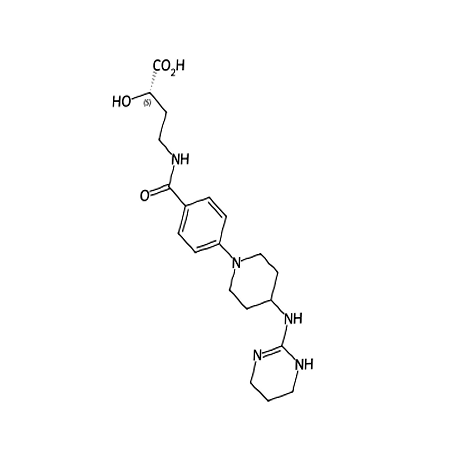 O=C(NCC[C@H](O)C(=O)O)c1ccc(N2CCC(NC3=NCCCN3)CC2)cc1